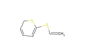 C=[C]SC1=CC=CCS1